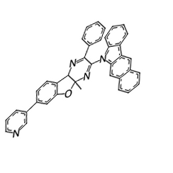 CC12N=C(n3c4ccccc4c4cc5ccccc5cc43)C(c3ccccc3)=NC1c1ccc(-c3cccnc3)cc1O2